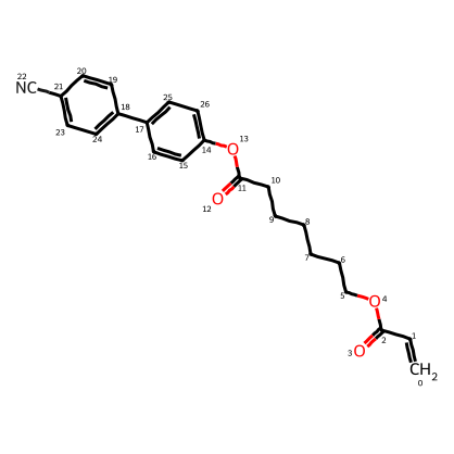 C=CC(=O)OCCCCCCC(=O)Oc1ccc(-c2ccc(C#N)cc2)cc1